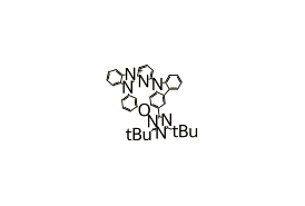 C[n+]1cn(-c2cccc(Oc3cc4c(cc3-c3nc(C(C)(C)C)nc(C(C)(C)C)n3)c3ccccc3n4-c3ccccn3)c2)c2ccccc21